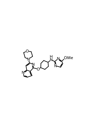 COc1ccnc(NC2CCC(Oc3nc(N4CCOCC4)cc4ncccc34)CC2)n1